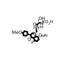 CCCOc1ccc(F)c2c(=O)c(-c3ccc(OC)cc3)cn(CCNC(=O)[C@H](CO)NC(=O)O)c12